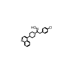 O/N=C(/Cc1ccc(Cl)cc1)N1CCC(c2ccnc3ccccc23)CC1